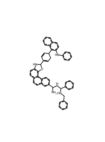 NC(NC(NCc1ccccc1)c1ccccc1)c1ccc2c(ccc3ccc4c(c32)OC(C2=CCC(c3c(Nc5ccccc5)ccc5ccccc35)C=C2)N4)c1